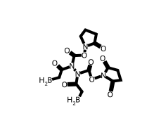 BCC(=O)N(C(=O)ON1CCCC1=O)N(C(=O)CB)C(=O)ON1C(=O)CCC1=O